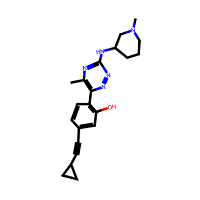 Cc1nc(NC2CCCN(C)C2)nnc1-c1ccc(C#CC2CC2)cc1O